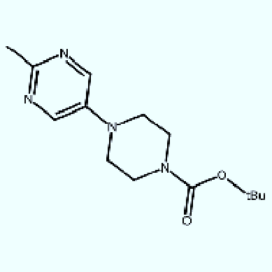 Cc1ncc(N2CCN(C(=O)OC(C)(C)C)CC2)cn1